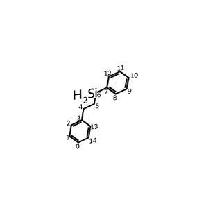 c1ccc(CC[SiH2]c2ccccc2)cc1